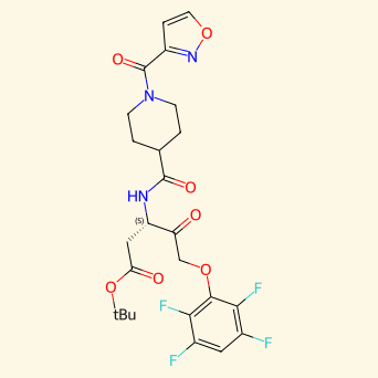 CC(C)(C)OC(=O)C[C@H](NC(=O)C1CCN(C(=O)c2ccon2)CC1)C(=O)COc1c(F)c(F)cc(F)c1F